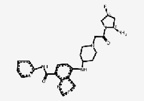 N[C@@H]1C[C@H](F)CN1C(=O)CN1CCC(Nc2ccc(C(=O)Nc3ccccn3)c3ncccc23)CC1